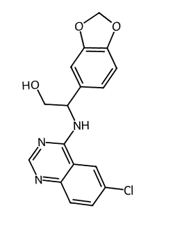 OCC(Nc1ncnc2ccc(Cl)cc12)c1ccc2c(c1)OCO2